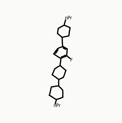 CCCC1CCC(c2ccc(C3CCC(C4CCC(CCC)CC4)CC3)c(F)c2)CC1